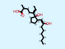 C/C=C(\CCC(C)C(=O)O)C1(O)CCCC1/C=C(/O)CCCCCC